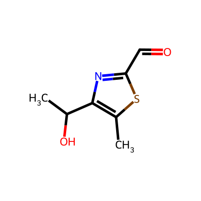 Cc1sc(C=O)nc1C(C)O